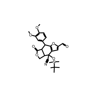 COc1ccc(C2c3oc(C=O)cc3C(C#N)(O[Si](C)(C)C(C)(C)C)C3COC(=O)C23)cc1OC